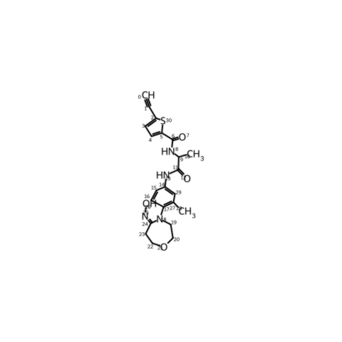 C#Cc1ccc(C(=O)NC(C)C(=O)Nc2ccc(N3CCOCCC3=NO)c(C)c2)s1